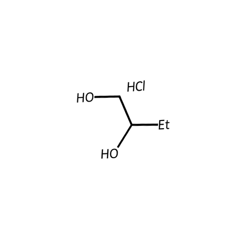 CCC(O)CO.Cl